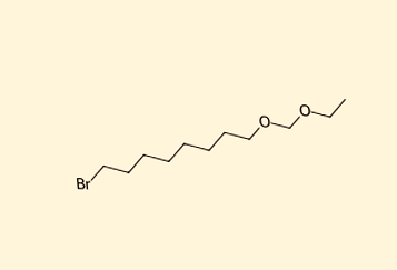 CCOCOCCCCCCCCBr